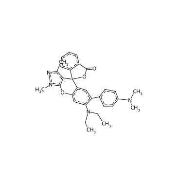 CCN(CC)c1cc2c(cc1-c1ccc(N(C)C)cc1)C1(OC(=O)c3ccccc31)c1c(C)nn(C)c1O2